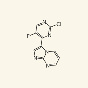 Fc1cnc(Cl)nc1-c1cnc2ncccn12